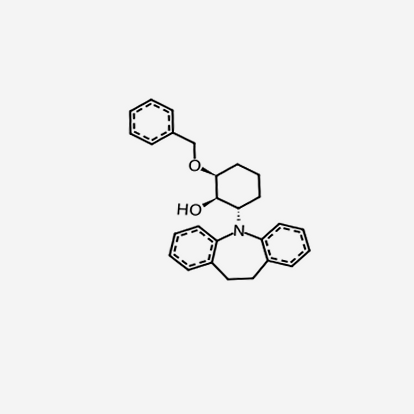 O[C@H]1[C@@H](OCc2ccccc2)CCC[C@@H]1N1c2ccccc2CCc2ccccc21